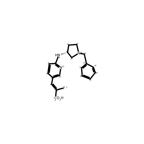 O=C(O)/C(F)=C/c1ccc(N[C@@H]2CCN(Cc3ccccc3)C2)nc1